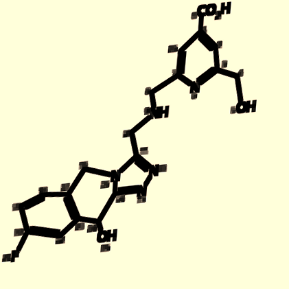 O=C(O)c1cc(CO)nc(CNCc2nnc3n2Cc2ccc(F)cc2C3O)c1